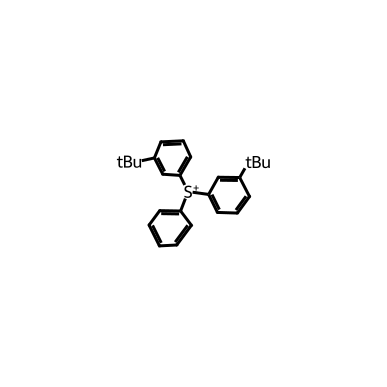 CC(C)(C)c1cccc([S+](c2ccccc2)c2cccc(C(C)(C)C)c2)c1